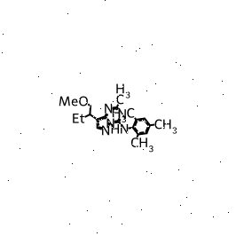 CCC(COC)c1cnn2c(Nc3c(C)cc(C)cc3C)nc(C)nc12